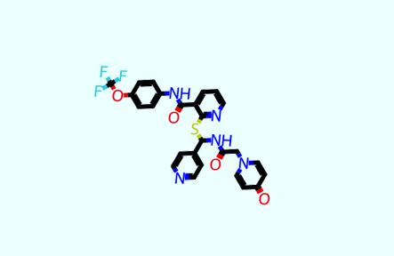 O=C(Cn1ccc(=O)cc1)NC(Sc1ncccc1C(=O)Nc1ccc(OC(F)(F)F)cc1)c1ccncc1